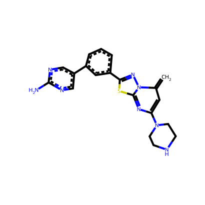 C=C1C=C(N2CCNCC2)N=C2SC(c3cccc(-c4cnc(N)nc4)c3)=NN12